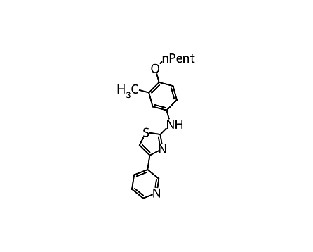 CCCCCOc1ccc(Nc2nc(-c3cccnc3)cs2)cc1C